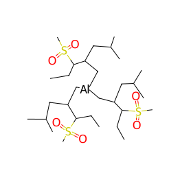 CCC(C(CC(C)C)[CH2][Al]([CH2]C(CC(C)C)C(CC)S(C)(=O)=O)[CH2]C(CC(C)C)C(CC)S(C)(=O)=O)S(C)(=O)=O